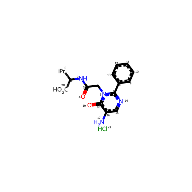 CC(C)C(NC(=O)Cn1c(-c2ccccc2)ncc(N)c1=O)C(=O)O.Cl